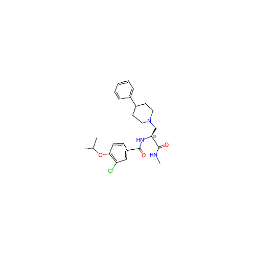 CNC(=O)[C@H](CN1CCC(c2ccccc2)CC1)NC(=O)c1ccc(OC(C)C)c(Cl)c1